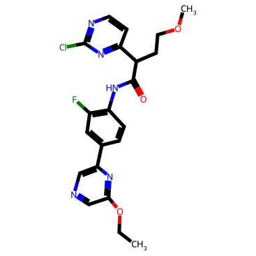 CCOc1cncc(-c2ccc(NC(=O)C(CCOC)c3ccnc(Cl)n3)c(F)c2)n1